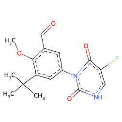 COc1c(C=O)cc(-n2c(=O)[nH]cc(F)c2=O)cc1C(C)(C)C